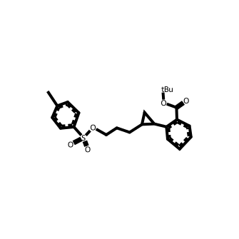 Cc1ccc(S(=O)(=O)OCCCC2CC2c2ccccc2C(=O)OC(C)(C)C)cc1